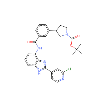 CC(C)(C)OC(=O)N1CCC(c2cccc(C(=O)Nc3cccc4[nH]c(-c5ccnc(Cl)c5)nc34)c2)C1